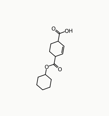 O=C(O)C1C=CC(C(=O)OC2CCCCC2)CC1